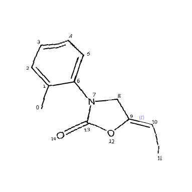 Cc1ccccc1N1C/C(=C/I)OC1=O